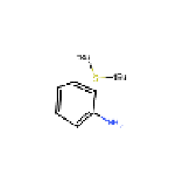 CC(C)(C)SC(C)(C)C.Nc1ccccc1